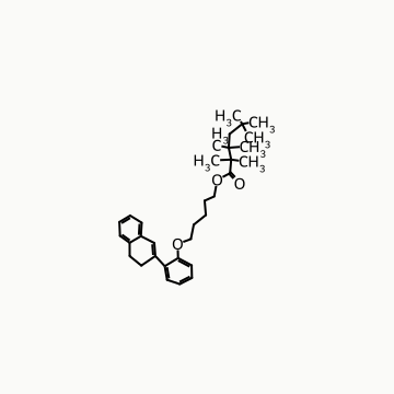 CC(C)(C)CC(C)(C)C(C)(C)C(=O)OCCCCCOc1ccccc1C1=Cc2ccccc2CC1